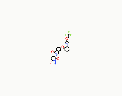 O=C1CCC(N2Cc3cc(O[C@H]4CCCC[C@H]4N4CC(OCC(F)(F)F)C4)ccc3C2=O)C(=O)N1